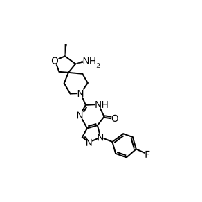 C[C@@H]1OCC2(CCN(c3nc4cnn(-c5ccc(F)cc5)c4c(=O)[nH]3)CC2)[C@@H]1N